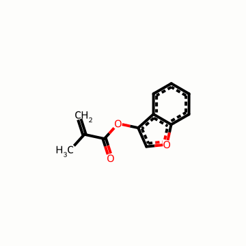 C=C(C)C(=O)Oc1coc2ccccc12